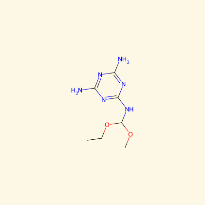 CCOC(Nc1nc(N)nc(N)n1)OC